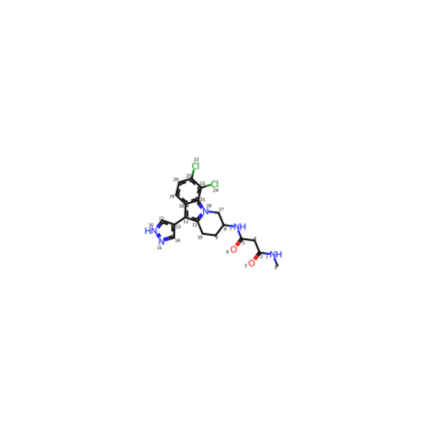 CNC(=O)CC(=O)NC1CCc2c(-c3cn[nH]c3)c3ccc(Cl)c(Cl)c3n2C1